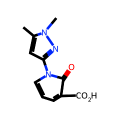 Cc1cc(-n2cccc(C(=O)O)c2=O)nn1C